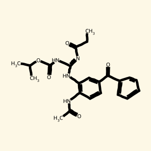 CCC(=O)N=C(NC(=O)OC(C)C)Nc1cc(C(=O)c2ccccc2)ccc1NC(C)=O